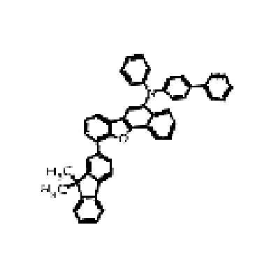 CC1(C)c2ccccc2-c2ccc(-c3cccc4c3oc3c5ccccc5c(N(c5ccccc5)c5ccc(-c6ccccc6)cc5)cc43)cc21